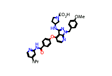 CCCc1ccnc(NC(=O)c2ccc(Oc3ccnc4c3c(NC3CCN(C(=O)O)C3)nn4Cc3ccc(OC)cc3)cc2)c1